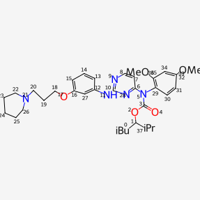 CCC(C)C(OC(=O)N(c1ccnc(Nc2cccc(OCCCN3CCCCC3)c2)n1)c1ccc(OC)cc1OC)C(C)C